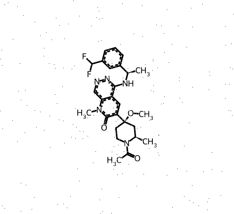 CO[C@]1(c2cc3c(N[C@H](C)c4cccc(C(F)F)c4)nncc3n(C)c2=O)CCN(C(C)=O)[C@H](C)C1